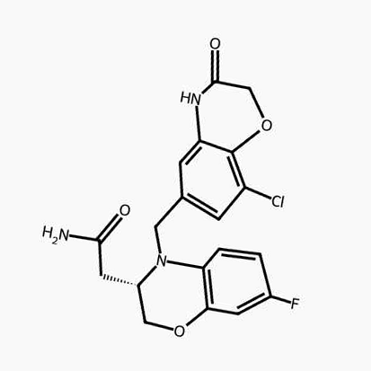 NC(=O)C[C@H]1COc2cc(F)ccc2N1Cc1cc(Cl)c2c(c1)NC(=O)CO2